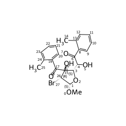 CO[C@H]1O[C@@H](C(O)C(=O)c2ccccc2C)[C@@](O)(C(=O)c2ccccc2C)[C@H]1Br